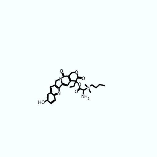 CCCC[Si](C)(C)C(N)C(=O)OC1(CC)C(=O)OCc2c1cc1n(c2=O)Cc2cc3cc(O)ccc3nc2-1